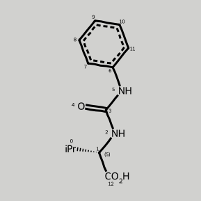 CC(C)[C@H](NC(=O)Nc1ccccc1)C(=O)O